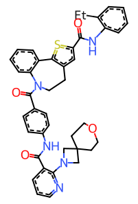 CCc1ccccc1NC(=O)c1cc2c(s1)-c1ccccc1N(C(=O)c1ccc(NC(=O)c3cccnc3N3CC4(CCOCC4)C3)cc1)CC2